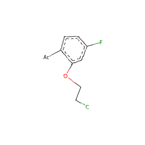 CC(=O)c1ccc(F)cc1OCCCl